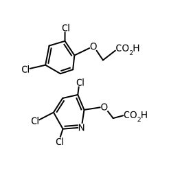 O=C(O)COc1ccc(Cl)cc1Cl.O=C(O)COc1nc(Cl)c(Cl)cc1Cl